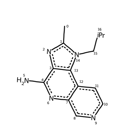 Cc1nc2c(N)nc3cnccc3c2n1CC(C)C